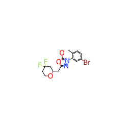 Cc1ccc(Br)cc1-n1nc(CC2CC(F)(F)CCO2)oc1=O